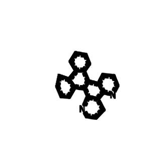 c1ccc2c(c1)c1ccccc1c1c3ncccc3c3ncccc3c21